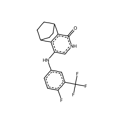 O=c1[nH]cc(Nc2ccc(F)c(C(F)(F)F)c2)c2c1C1CCC2CC1